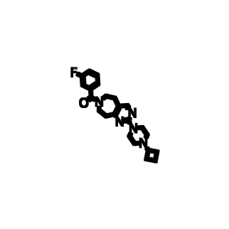 O=C(c1cccc(F)c1)N1CCc2cnc(N3CCN(C4CCC4)CC3)nc2CC1